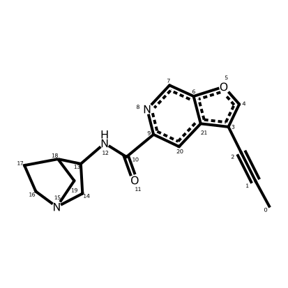 CC#Cc1coc2cnc(C(=O)NC3CN4CCC3C4)cc12